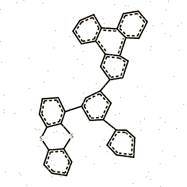 c1ccc(-c2cc(-c3ccc4c5ccccc5c5ccccc5c4c3)cc(-c3cccc4c3Sc3ccccc3S4)c2)cc1